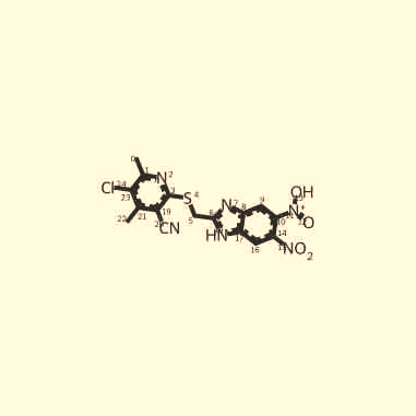 Cc1nc(SCc2nc3cc([N+](=O)O)c([N+](=O)[O-])cc3[nH]2)c(C#N)c(C)c1Cl